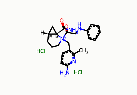 Cc1nc(N)ccc1C[N+]1(C(=O)CNc2ccccc2)CCC[C@@H]2C[C@@]21C(N)=O.Cl.Cl